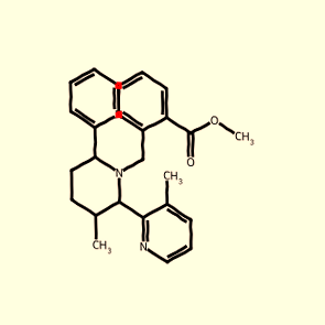 COC(=O)c1ccccc1CN1C(c2ccccn2)CCC(C)C1c1ncccc1C